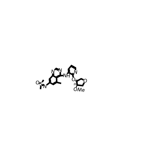 CO[C@@H]1COC[C@H]1Oc1ncccc1Nc1ncnc2cc(N=S(C)(C)=O)cc(C)c12